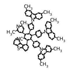 Cc1ccc2c(c1)c1cc(C)ccc1n2-c1ccc(-c2c(-c3cc(C)nc(C)c3)c(C#N)c(-c3cccc4sc5ccccc5c34)c(-c3ccc(-n4c5ccc(C)cc5c5cc(C)ccc54)cc3)c2-c2ccc(-n3c4ccc(C)cc4c4cc(C)ccc43)cc2)cc1